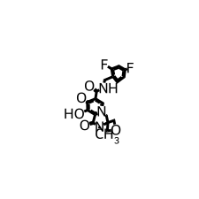 CN1C(=O)c2c(O)c(=O)c(C(=O)NCc3ccc(F)cc3F)cn2CC12COC2